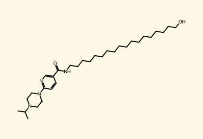 CC(C)N1CCN(c2ccc(C(=O)NCCCCCCCCCCCCCCCCCCO)cn2)CC1